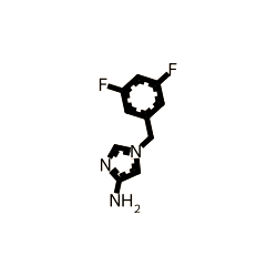 Nc1cn(Cc2cc(F)cc(F)c2)cn1